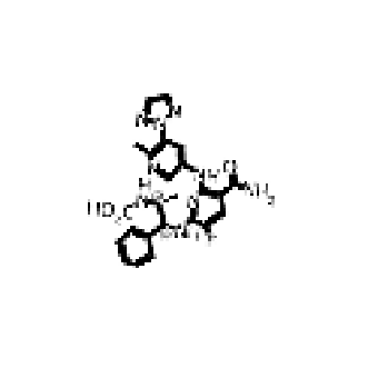 Cc1ncc(Nc2nc(N[C@@H](c3ccccc3)[C@H](C)NC(=O)O)c(F)cc2C(N)=O)cc1-n1nccn1